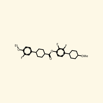 CCOc1ccc(C2CCC(C(=O)Oc3ccc(C4CCC(OC)CC4)c(F)c3F)CC2)cc1F